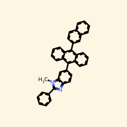 Cn1c(-c2ccccc2)nc2ccc(-c3c4ccccc4c(-c4ccc5ccccc5c4)c4ccccc34)cc21